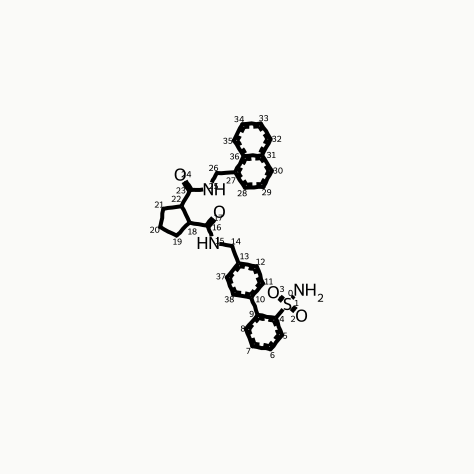 NS(=O)(=O)c1ccccc1-c1ccc(CNC(=O)C2CCCC2C(=O)NCc2cccc3ccccc23)cc1